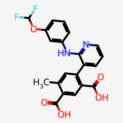 Cc1cc(-c2cccnc2Nc2cccc(OC(F)F)c2)c(C(=O)O)cc1C(=O)O